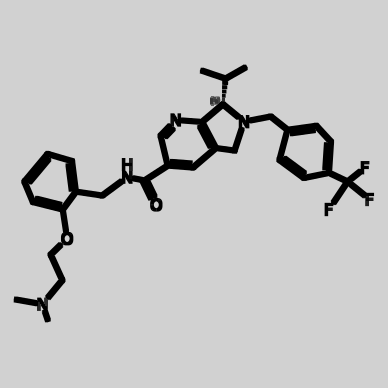 CC(C)[C@H]1c2ncc(C(=O)NCc3ccccc3OCCN(C)C)cc2CN1Cc1ccc(C(F)(F)F)cc1